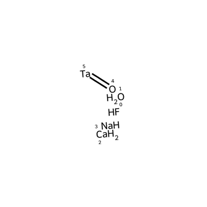 F.O.[CaH2].[NaH].[O]=[Ta]